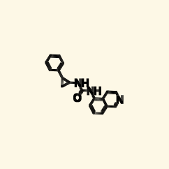 O=C(Nc1cccc2cnccc12)NC1CC1c1ccccc1